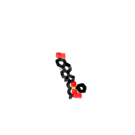 CC(O)CC(CC1CCC2C3CC=C4CC(O)CC[C@]4(C)C3CCC12C)S(=O)(=O)c1ccccc1